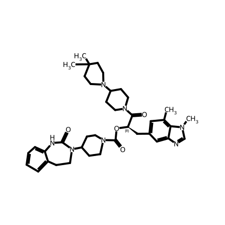 Cc1cc(C[C@@H](OC(=O)N2CCC(N3CCc4ccccc4NC3=O)CC2)C(=O)N2CCC(N3CCC(C)(C)CC3)CC2)cc2ncn(C)c12